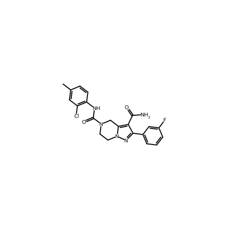 Cc1ccc(NC(=O)N2CCn3nc(-c4cccc(F)c4)c(C(N)=O)c3C2)c(Cl)c1